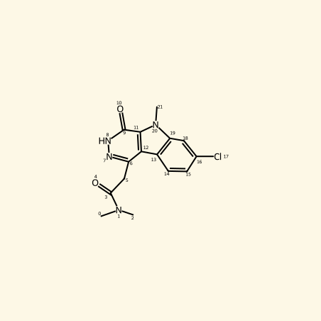 CN(C)C(=O)Cc1n[nH]c(=O)c2c1c1ccc(Cl)cc1n2C